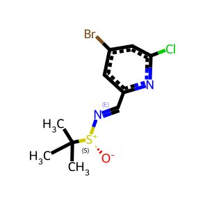 CC(C)(C)[S@@+]([O-])/N=C/c1cc(Br)cc(Cl)n1